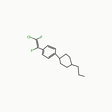 CCCC1CCC(c2ccc(/C(F)=C(\F)Cl)cc2)CC1